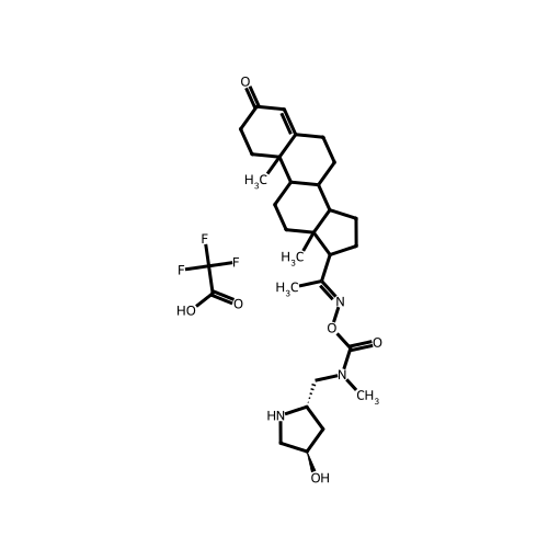 C/C(=N\OC(=O)N(C)C[C@@H]1C[C@@H](O)CN1)C1CCC2C3CCC4=CC(=O)CCC4(C)C3CCC12C.O=C(O)C(F)(F)F